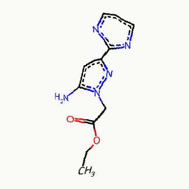 CCOC(=O)Cn1nc(-c2ncccn2)cc1N